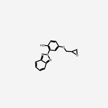 Oc1ccc(OCC2CO2)cc1-n1nc2ccccc2n1